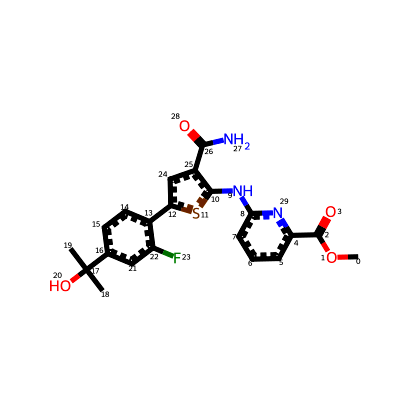 COC(=O)c1cccc(Nc2sc(-c3ccc(C(C)(C)O)cc3F)cc2C(N)=O)n1